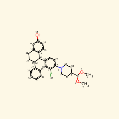 COC(OC)C1CCN(c2ccc(C3c4ccc(O)cc4CC[C@@H]3c3ccccc3)cc2F)CC1